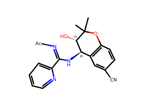 CC(=O)N=C(N[C@@H]1c2cc(C#N)ccc2OC(C)(C)[C@H]1O)c1ccccn1